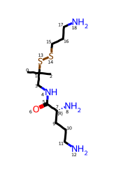 CC(C)(CNC(=O)[C@H](N)CCCN)SSCCCN